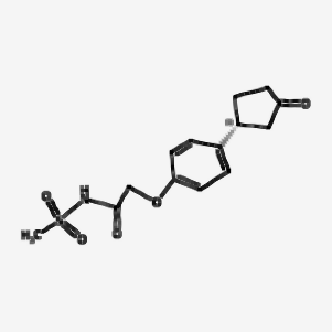 CS(=O)(=O)NC(=O)COc1ccc([C@@H]2CCC(=O)C2)cc1